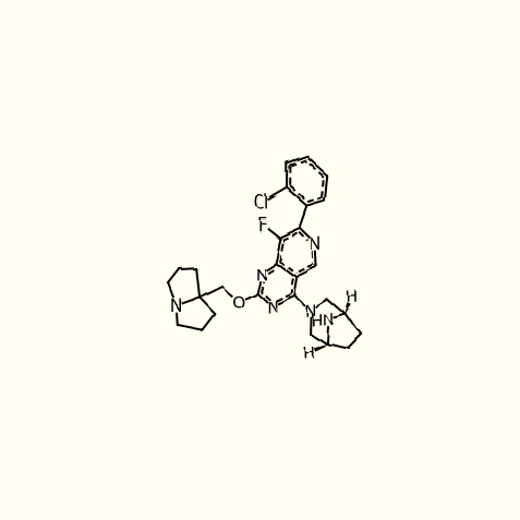 Fc1c(-c2ccccc2Cl)ncc2c(N3C[C@H]4CC[C@@H](C3)N4)nc(OCC34CCCN3CCC4)nc12